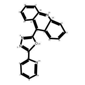 c1ccc(-c2nnc(-c3c4ccccc4nc4ccccc34)o2)nc1